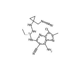 CC[C@H](NNC1(CN=[N+]=[N-])CC1)Nc1nc2c(Cl)c(C)nn2c(N)c1C#N